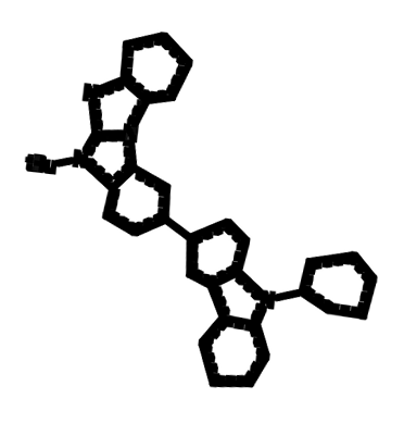 CC(C)(C)n1c2ccc(-c3ccc4c(c3)c3ccccc3n4-c3ccccc3)cc2n2c3ccccc3nc12